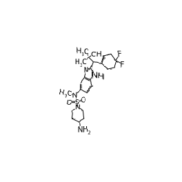 CN(c1ccc2[nH]c(C(C3CCC(F)(F)CC3)C(C)(C)C)nc2c1)S(=O)(=O)N1CCC(N)CC1